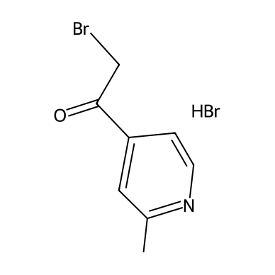 Br.Cc1cc(C(=O)CBr)ccn1